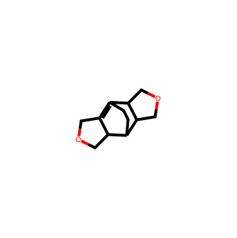 C1CC2C3COCC3=C1C1COCC12